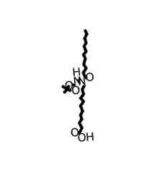 CCCCCCCCCCCC(=O)N(CCCCCCCCCCCC(=O)O)NC(=O)OC(C)(C)C